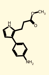 COC(=O)CCc1[nH]ccc1-c1ccc(N)cc1